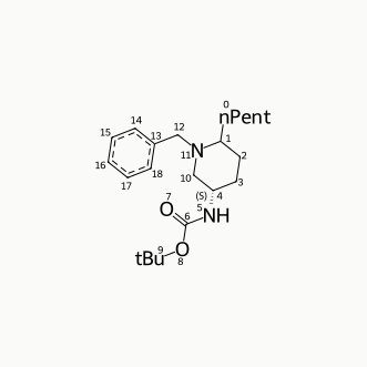 CCCCCC1CC[C@H](NC(=O)OC(C)(C)C)CN1Cc1ccccc1